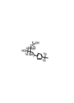 [2H]C([2H])(C)c1ccc(CCC(N)(C([2H])([2H])O)C([2H])([2H])OP(C)(=O)O)cc1